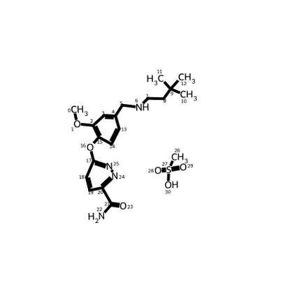 COc1cc(CNCCC(C)(C)C)ccc1Oc1ccc(C(N)=O)nn1.CS(=O)(=O)O